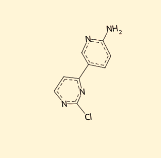 Nc1ccc(-c2ccnc(Cl)n2)cn1